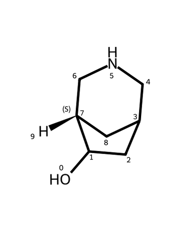 OC1CC2CNC[C@@H]1C2